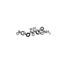 CC(=O)N1CCN(c2cccc(NC(=O)Nc3ccnc(N4CCC[C@H]4C(N)=O)n3)c2)CC1